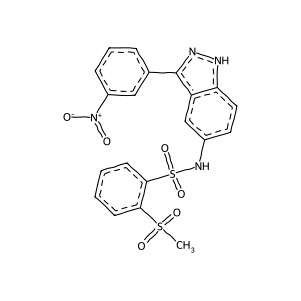 CS(=O)(=O)c1ccccc1S(=O)(=O)Nc1ccc2[nH]nc(-c3cccc([N+](=O)[O-])c3)c2c1